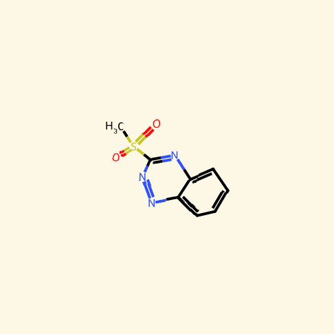 CS(=O)(=O)c1nnc2ccccc2n1